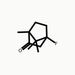 CC12CCC(F)(CC1=O)C2(C)C